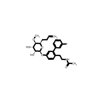 C=CCC[C@H]1O[C@@H](Oc2ccc(CCNC(C)=O)c(-c3cccc(F)c3)c2)[C@H](O)[C@H](O)[C@H]1OC